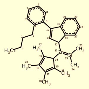 CCCCc1ccccc1C1=C[CH]([Zr]([CH]2C(C)=C(C)C(C)=C2C)=[Si](C)C)c2ccccc21